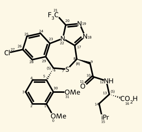 COc1cccc([C@H]2S[C@H](CC(=O)N[C@@H](CC(C)C)C(=O)O)c3nnc(C(F)(F)F)n3-c3ccc(Cl)cc32)c1OC